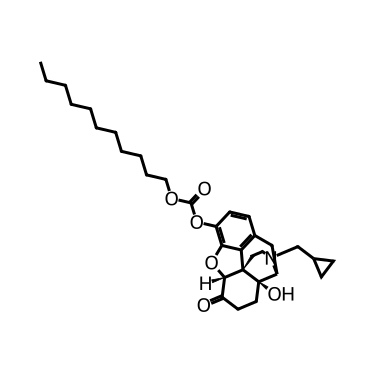 CCCCCCCCCCCOC(=O)Oc1ccc2c3c1O[C@H]1C(=O)CC[C@@]4(O)C(C2)N(CC2CC2)CC[C@]314